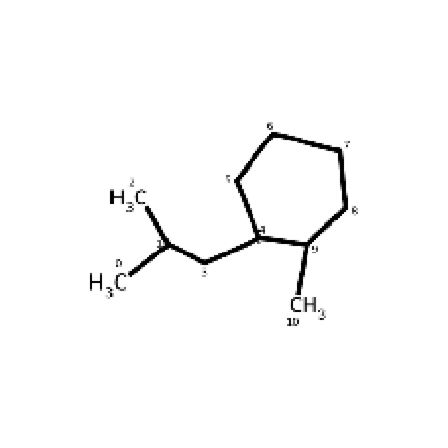 CC(C)C[C]1CCCCC1C